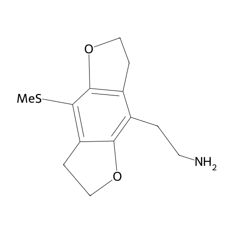 CSc1c2c(c(CCN)c3c1OCC3)OCC2